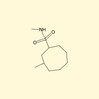 CNS(=O)(=O)C1CCCCCC(C)C1